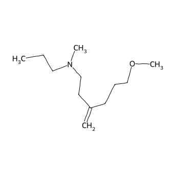 C=C(CCCOC)CCN(C)CCC